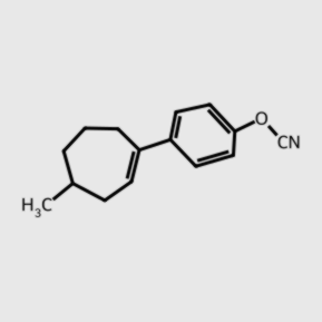 CC1CC=C(c2ccc(OC#N)cc2)CCC1